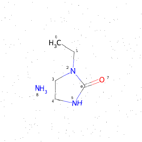 CCN1CCNC1=O.N